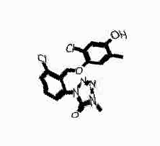 Cc1cc(OCc2c(Cl)cccc2-n2nnn(C)c2=O)c(Cl)cc1O